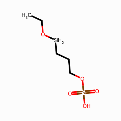 CCO[SiH2]CCCOS(=O)(=O)O